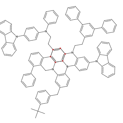 CC(C)(C)c1cccc(Cc2ccc3c(c2)N(Cc2c(-c4ccccc4)cccc2-c2ccccc2)c2cc(CCN(c4ccccc4)c4ccc(-n5c6ccccc6c6ccccc65)cc4)cc4c2B3c2ccc(-n3c5ccccc5c5ccccc53)cc2N4CCc2cc(-c3ccccc3)cc(-c3ccccc3)c2)c1